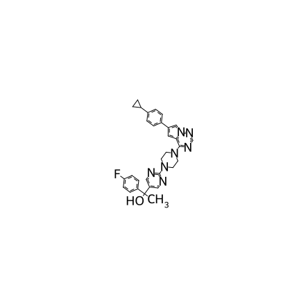 CC(O)(c1ccc(F)cc1)c1cnc(N2CCN(c3ncnn4cc(-c5ccc(C6CC6)cc5)cc34)CC2)nc1